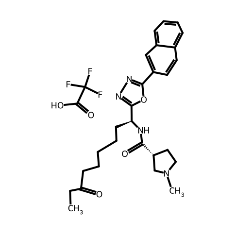 CCC(=O)CCCCC[C@H](NC(=O)[C@@H]1CCN(C)C1)c1nnc(-c2ccc3ccccc3c2)o1.O=C(O)C(F)(F)F